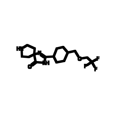 O=C1NC(C2CCC(COCC(F)(F)F)CC2)=NC12CCNCC2